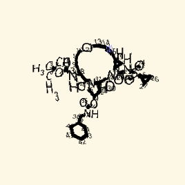 CC(C)(C)OC(=O)N[C@H]1CCCOC/C=C\[C@@H]2C[C@@]2(C(=O)NS(=O)(=O)C2CC2)NC(=O)[C@@H]2C[C@@H](OC(=O)NCC3CCCCC3)CN2C1=O